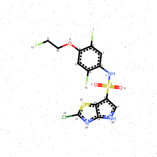 O=S(=O)(Nc1cc(F)c(OCCF)cc1F)c1c[nH]c2nc(Cl)sc12